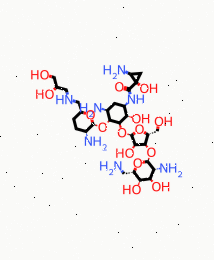 NC[C@@H]1O[C@H](O[C@H]2[C@@H](O)[C@H](O[C@@H]3[C@@H](O)[C@H](NC(=O)C4(O)CC4N)C[C@H](N)[C@H]3O[C@H]3O[C@H](CNCC(O)CO)CC[C@H]3N)O[C@@H]2CO)[C@H](N)[C@@H](O)[C@@H]1O